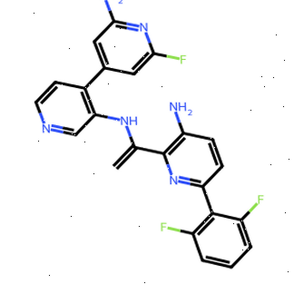 C=C(Nc1cnccc1-c1cc(N)nc(F)c1)c1nc(-c2c(F)cccc2F)ccc1N